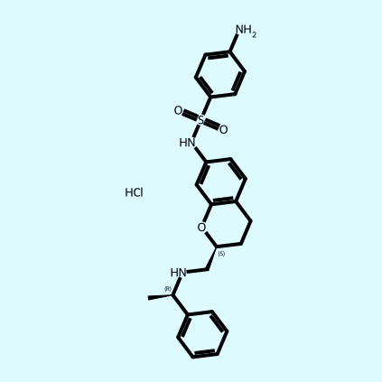 C[C@@H](NC[C@@H]1CCc2ccc(NS(=O)(=O)c3ccc(N)cc3)cc2O1)c1ccccc1.Cl